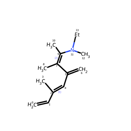 C=C/C(C)=C/C(=C)/C(C)=C(/C)N(C)CC